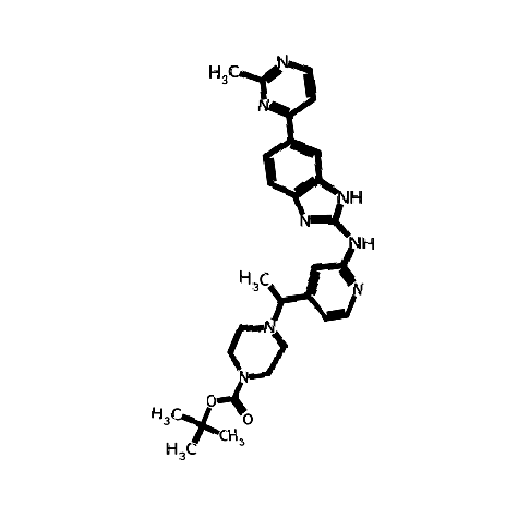 Cc1nccc(-c2ccc3nc(Nc4cc(C(C)N5CCN(C(=O)OC(C)(C)C)CC5)ccn4)[nH]c3c2)n1